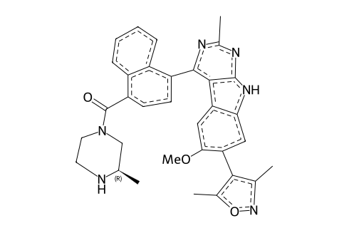 COc1cc2c(cc1-c1c(C)noc1C)[nH]c1nc(C)nc(-c3ccc(C(=O)N4CCN[C@H](C)C4)c4ccccc34)c12